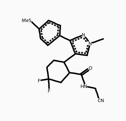 CSc1ccc(-c2nn(C)cc2C2CCC(F)(F)CC2C(=O)NCC#N)cc1